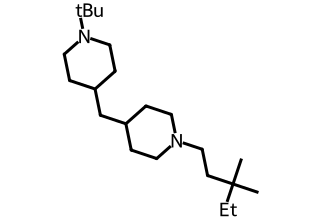 CCC(C)(C)CCN1CCC(CC2CCN(C(C)(C)C)CC2)CC1